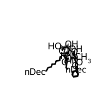 CCCCCCCCCCCCCCCCCCN(C(=O)OCCCCCCCCCCCC)[C@@H]1O[C@H](CO)[C@@H](O)[C@H](O)[C@H]1NC(=O)[C@H](C)NC(=O)OCc1ccccc1